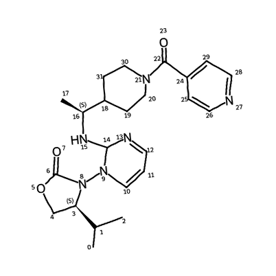 CC(C)[C@H]1COC(=O)N1N1C=CC=NC1N[C@@H](C)C1CCN(C(=O)c2ccncc2)CC1